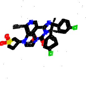 CCOc1cc(C(C)(C)C)ncc1C1=N[C@@](C)(c2ccc(Cl)cc2)[C@@](C)(c2ccc(Cl)cc2)N1C(=O)N1CCN(C2CCS(=O)(=O)C2)CC1